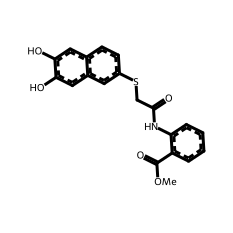 COC(=O)c1ccccc1NC(=O)CSc1ccc2cc(O)c(O)cc2c1